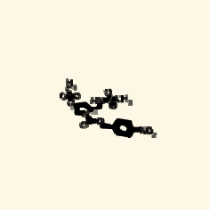 CS(=O)(=O)NC[C@@H]1C[C@@H](OS(C)(=O)=O)CN1C(=O)OCc1ccc([N+](=O)[O-])cc1